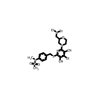 CCc1c(C#N)c(SCc2ccc(N(C)S(C)(=O)=O)cc2)nc(N2CCOC(CN(CC)CC)C2)c1C#N